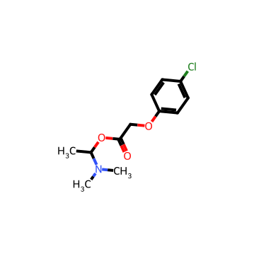 CC(OC(=O)COc1ccc(Cl)cc1)N(C)C